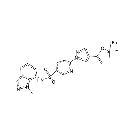 C=C(O[Si](C)(C)C(C)(C)C)c1cnn(-c2ccc(S(=O)(=O)Nc3cccc4cnn(C)c34)cn2)c1